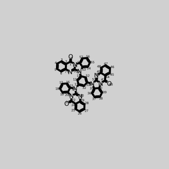 O=c1c2ccccc2nc2n(-c3cc(-n4c5ccccc5n5c(=O)c6ccccc6nc45)cc(-n4c5ccccc5n5c(=O)c6ccccc6nc45)c3)c3ccccc3n12